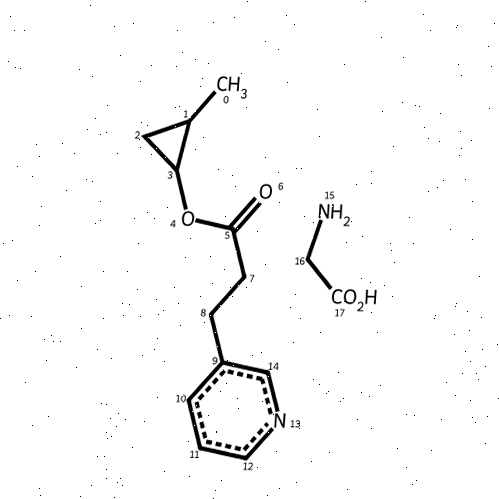 CC1CC1OC(=O)CCc1cccnc1.NCC(=O)O